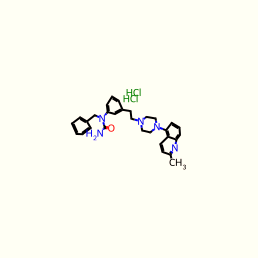 Cc1ccc2c(N3CCN(CCc4cccc(N(Cc5ccccc5)C(N)=O)c4)CC3)cccc2n1.Cl.Cl